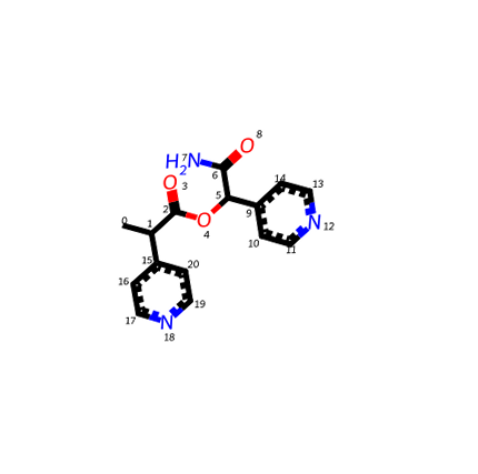 CC(C(=O)OC(C(N)=O)c1ccncc1)c1ccncc1